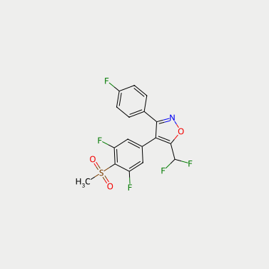 CS(=O)(=O)c1c(F)cc(-c2c(-c3ccc(F)cc3)noc2C(F)F)cc1F